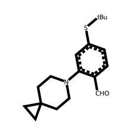 CC(C)(C)Sc1ccc(C=O)c(N2CCC3(CC2)CC3)c1